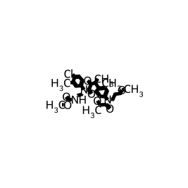 COCCCN1C(=O)C(C)Oc2cc(C(C)C3Oc4cc(Cl)c(C)cc4N(CCNC(=O)OC)C3=O)c(C)cc21